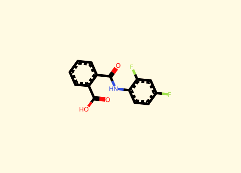 O=C(O)c1ccccc1C(=O)Nc1ccc(F)cc1F